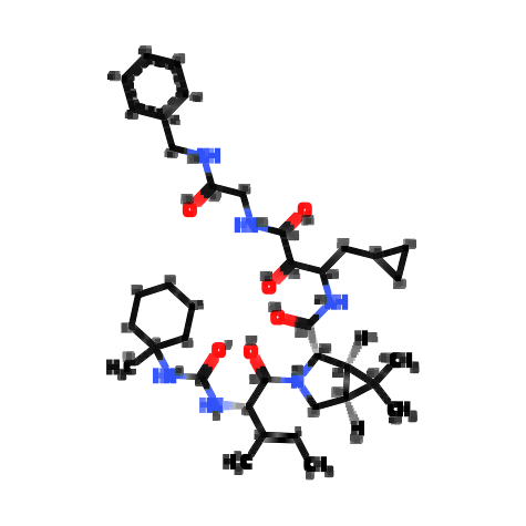 C/C=C(\C)[C@H](NC(=O)NC1(C)CCCCC1)C(=O)N1C[C@H]2[C@@H]([C@H]1C(=O)NC(CC1CC1)C(=O)C(=O)NCC(=O)NCc1ccccc1)C2(C)C